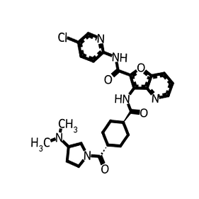 CN(C)C1CCN(C(=O)[C@H]2CC[C@H](C(=O)Nc3c(C(=O)Nc4ccc(Cl)cn4)oc4cccnc34)CC2)C1